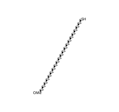 COSSSSSSSSSSSSSSSSSSSSSSSSSSSSSSSSSSSSSSSSSS